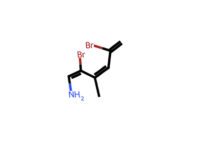 C=C(Br)/C=C(C)\C(Br)=C/N